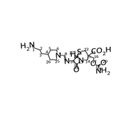 NCCCC1CCN(C=NC2C(=O)N3CC(COC(N)=O)(C(=O)O)CS[C@H]23)CC1